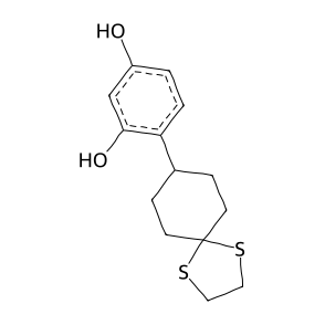 Oc1ccc(C2CCC3(CC2)SCCS3)c(O)c1